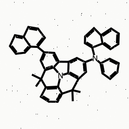 CC1(C)c2cccc3c2-n2c4c1cc(-c1cccc5ccccc15)cc4c1cc(N(c4ccccc4)c4cccc5ccccc45)cc(c12)C3(C)C